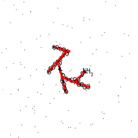 C=CCN(CCOCCOCCOCCOC)C(=O)CCSCCCCSCCCN(CCOCCOCCOCCOC)C(=O)CCSCCCCSCCCN(CCOCCOCCOCCOC)C(=O)CCSCCCCSCCCN(CCOCCOCCOCCOC)C(=O)CCSCCCCSCCCN